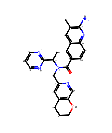 Cc1cc2cc(C(=O)N(Cc3cc4c(cn3)OCCC4)C(C)c3ncccn3)ccc2nc1N